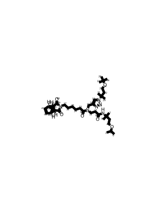 CC(C)OCCC(C)(C)NC(=O)CCN(Cc1cn(C(C)(C)CCOC(C)(C)C)nn1)C(=O)CCCCCN1C(=O)[C@@H]2[C@H](C1=O)[C@H]1C=C[C@@H]2C1